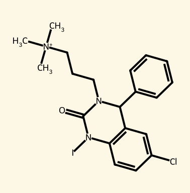 C[N+](C)(C)CCCN1C(=O)N(I)c2ccc(Cl)cc2C1c1ccccc1